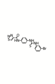 O=C(Nc1ccc(NC(=S)Nc2cccc(Br)c2)cc1)c1csnn1